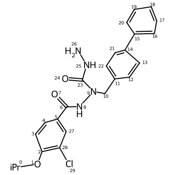 CC(C)Oc1ccc(C(=O)NN(Cc2ccc(-c3ccccc3)cc2)C(=O)NN)cc1Cl